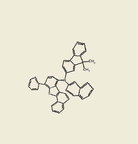 CC1(C)c2ccccc2-c2ccc(N(c3ccc4ccccc4c3)c3ccc(-c4ccccc4)c4sc5c6ccccc6ccc5c34)cc21